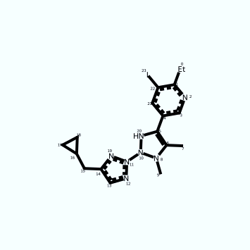 CCc1ncc(C2=C(C)N(C)N(n3ncc(CC4CC4)n3)N2)cc1I